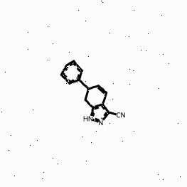 N#Cc1n[nH]c2c1C=CC(c1ccccc1)C2